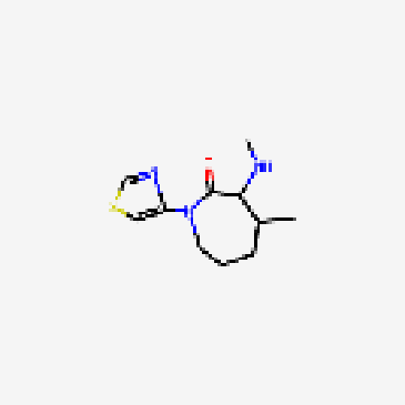 CNC1C(=O)N(c2cscn2)CCCC1C